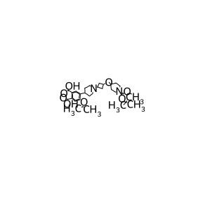 CC(C)Oc1cc(C(=O)O)c(C(=O)O)cc1C1CCN([C@H]2C[C@H](OC3CCN(C(=O)OC(C)(C)C)CC3)C2)CC1